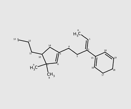 C/C=C(\CCC1=CC(C)(C)C(CCI)C1)C1=CCCC=C1